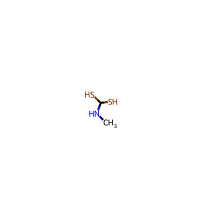 CNC(S)S